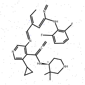 C=C=C(N[C@H]1CCNCC1(C)C)c1c(/N=C/C(/C=C(\N=C)Nc2c(F)cccc2F)=C/C)cncc1C1CC1